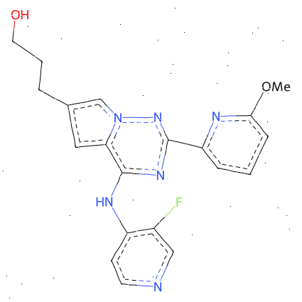 COc1cccc(-c2nc(Nc3ccncc3F)c3cc(CCCO)cn3n2)n1